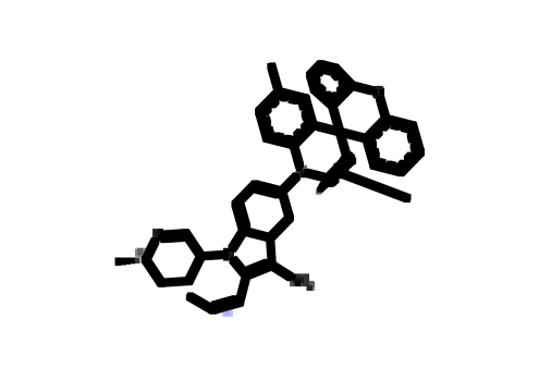 C/C=C\C1=C(N)C2CC(N3c4ccc(C)cc4C4(c5ccccc5Oc5ccccc54)c4cc(C)ccc43)=CC=C2N1C1C=N[C@@H](C)CC1